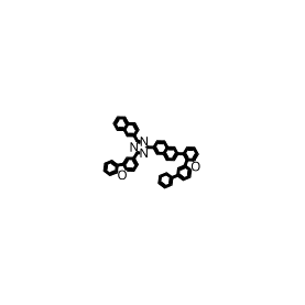 C1=CCCC(c2ccc3oc4cccc(-c5ccc6cc(-c7nc(-c8ccc9ccccc9c8)nc(-c8ccc9oc%10ccccc%10c9c8)n7)ccc6c5)c4c3c2)=C1